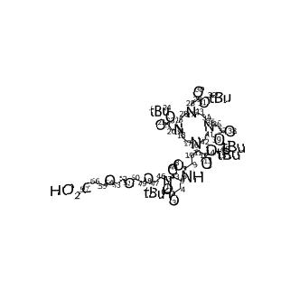 CC(C)(C)OC(=O)CC(NC(=O)CCC(C(=O)OC(C)(C)C)N1CCN(CC(=O)OC(C)(C)C)CCN(CC(=O)OC(C)(C)C)CCN(CC(=O)OC(C)(C)C)CC1)C(=O)NCCOCCOCCOCCC(=O)O